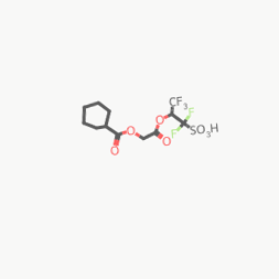 O=C(COC(=O)C1CCCCC1)OC(C(F)(F)F)C(F)(F)S(=O)(=O)O